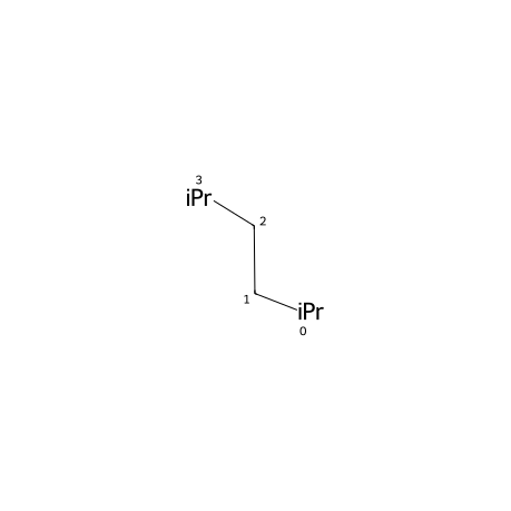 [CH2]C(C)CCC([CH2])C